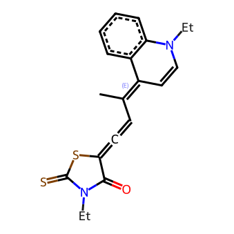 CCN1C(=O)C(=C=C/C(C)=C2\C=CN(CC)c3ccccc32)SC1=S